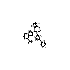 FC(F)c1cccn2nc(C3c4nc[nH]c4CCN3c3nnc(-c4ccncn4)o3)cc12